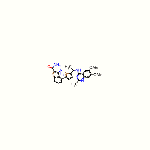 COc1cc2nc(C)nc(NC(C)c3ccc(-c4cccc5sc(C(N)=O)c(N)c45)s3)c2cc1OC